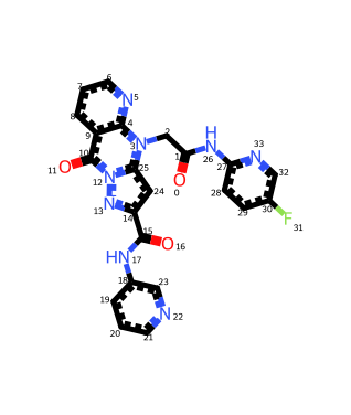 O=C(Cn1c2ncccc2c(=O)n2nc(C(=O)Nc3cccnc3)cc12)Nc1ccc(F)cn1